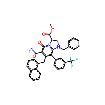 COC(=O)C1CN(Cc2ccccc2)c2c(-c3cccc(C(F)(F)F)c3)c(Cc3cccc4ccccc34)c(C(N)=O)c(=O)n21